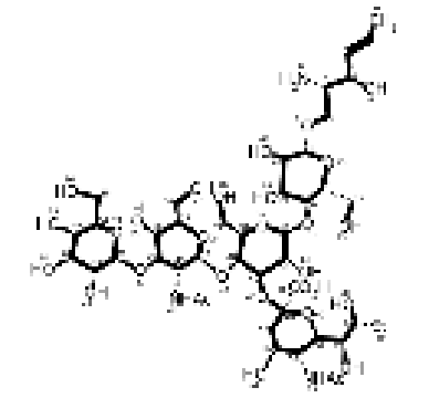 C/C=C/[C@@H](O)[C@@H](N)CO[C@@H]1O[C@H](CO)[C@@H](O[C@@H]2O[C@H](CO)[C@H](O[C@@H]3O[C@H](CO)[C@H](O)[C@H](O[C@@H]4O[C@H](CO)[C@H](O)[C@H](O)[C@H]4O)[C@H]3NC(C)=O)[C@H](O[C@]3(C(=O)O)C[C@H](O)[C@@H](NC(C)=O)[C@H]([C@H](O)[C@H](O)CC)O3)[C@H]2O)[C@H](O)[C@H]1O